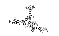 CC1(C)c2ccccc2-c2cc(-c3ccc4c(c3)c3ccccc3n4-c3ccc4nc(-n5c6ccccc6c6cc(-c7ccc8c(c7)-c7ccccc7C8(C)C)ccc65)nc(-c5cc6c7c(c5)C(C)(C)c5cc(-n8c9ccccc9c9cc(-c%10ccc%11c(c%10)C%10CCCCC%10C%11(C)C)ccc98)cc(c5-7)C6(C)C)c4c3)ccc21